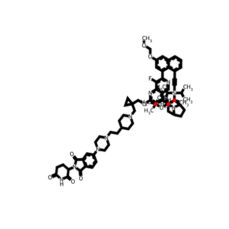 COCOc1cc(-c2ncc3c(N4CC5CCC(C4)N5C(=O)OC(C)(C)C)nc(OCC4(CN5CCC(CCN6CCN(c7ccc8c(c7)C(=O)N(C7CCC(=O)NC7=O)C8=O)CC6)CC5)CC4)nc3c2F)c2c(C#C[Si](C(C)C)(C(C)C)C(C)C)cccc2c1